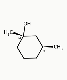 C[C@H]1CCC[C@](C)(O)C1